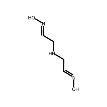 ON=CCNCC=NO